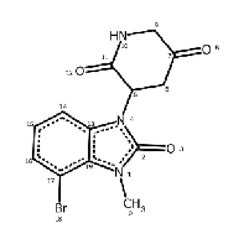 Cn1c(=O)n(C2CC(=O)CNC2=O)c2cccc(Br)c21